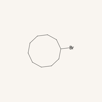 BrC1CCCCCCCCC1